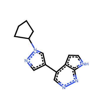 c1cc2c(-c3cnn([C]4CCCC4)c3)cnnc2[nH]1